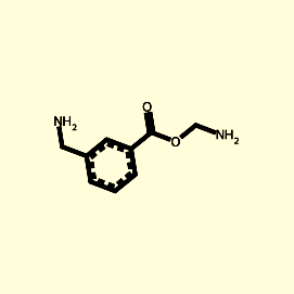 NCOC(=O)c1cccc(CN)c1